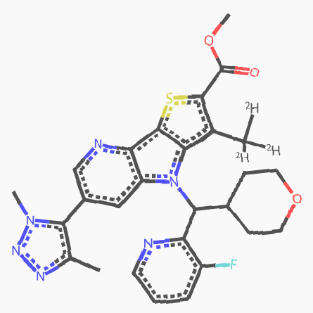 [2H]C([2H])([2H])c1c(C(=O)OC)sc2c3ncc(-c4c(C)nnn4C)cc3n(C(c3ncccc3F)C3CCOCC3)c12